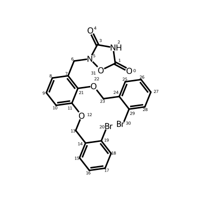 O=c1[nH]c(=O)n(Cc2cccc(OCc3ccccc3Br)c2OCc2ccccc2Br)o1